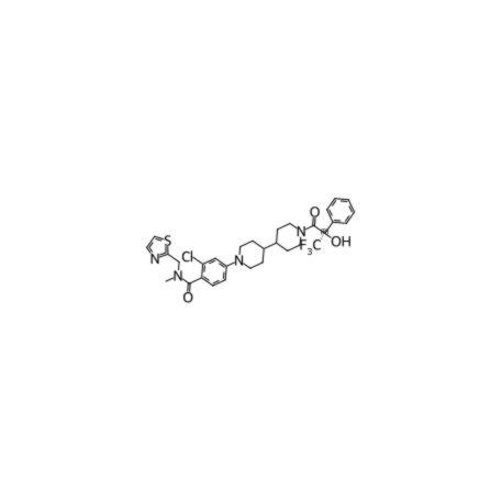 CN(Cc1nccs1)C(=O)c1ccc(N2CCC(C3CCN(C(=O)[C@](O)(c4ccccc4)C(F)(F)F)CC3)CC2)cc1Cl